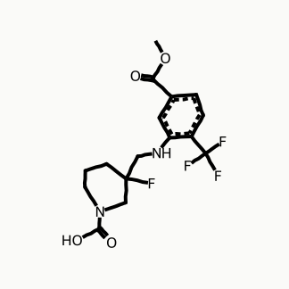 COC(=O)c1ccc(C(F)(F)F)c(NCC2(F)CCCN(C(=O)O)C2)c1